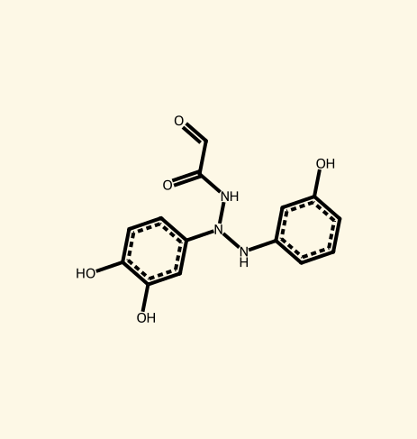 O=CC(=O)NN(Nc1cccc(O)c1)c1ccc(O)c(O)c1